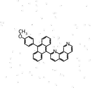 COc1ccc(-c2c3ccccc3c(-c3ccc4ccc5ccncc5c4n3)c3ccccc23)cc1